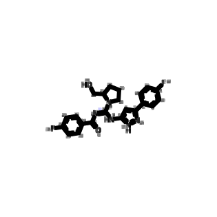 O=C(/N=C(\Nc1cc(-c2ccc(F)cc2)n[nH]1)N1CCCC1CO)c1ccc(F)cc1